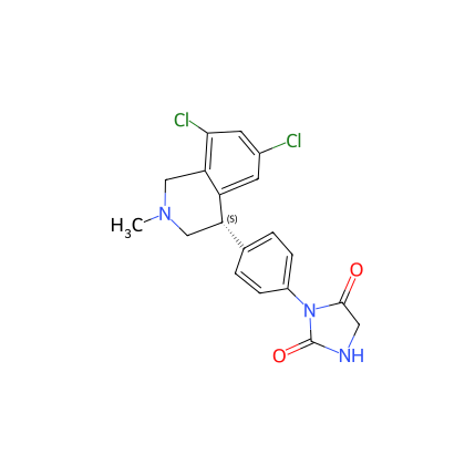 CN1Cc2c(Cl)cc(Cl)cc2[C@H](c2ccc(N3C(=O)CNC3=O)cc2)C1